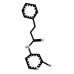 O=C(CCc1ccccc1)Nc1ccnc(Br)c1